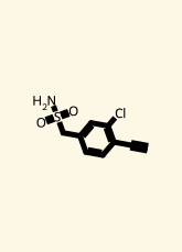 C#Cc1ccc(CS(N)(=O)=O)cc1Cl